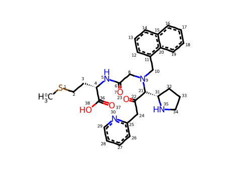 CSCC[C@H](NC(=O)CN(Cc1cccc2ccccc12)C(C(=O)Cc1ccccn1)[C@@H]1CCCN1)C(=O)O